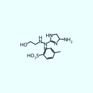 Cc1ccc(S(=O)(=O)O)cc1.NC1CNC(NNCCO)=N1